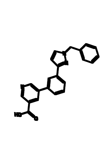 O=C(O)c1cncc(-c2cccc(-c3ccn(Cc4ccccc4)n3)c2)c1